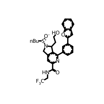 CCCC[S+]([O-])N1Cc2cc(C(=O)NCC(F)(F)F)nc(-c3cccc(-c4cc5ccccc5o4)c3)c2C1CCO